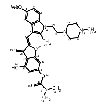 COc1ccc2c(c1)c(/C=C1\Oc3cc(OC(=O)N(C)C)cc(O)c3C1=O)c(C)n2CCN1CCN(C)CC1